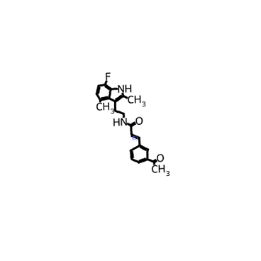 CC(=O)c1cccc(/C=C/C(=O)NCCc2c(C)[nH]c3c(F)ccc(C)c23)c1